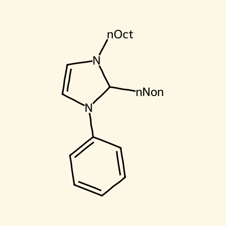 CCCCCCCCCC1N(CCCCCCCC)C=CN1c1ccccc1